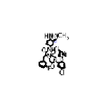 CN/C=C1/C=C(NC(=O)C(Cc2cccc(F)c2)N2CC(=O)N(c3cc(Cl)ccc3-n3cc(Cl)nn3)CC2=O)C=CC1=N